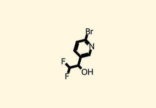 OC(c1ccc(Br)nc1)C(F)F